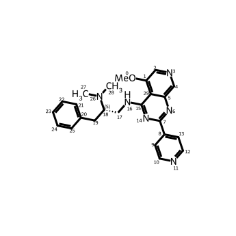 COc1cncc2nc(-c3ccncc3)nc(NC[C@H](Cc3ccccc3)N(C)C)c12